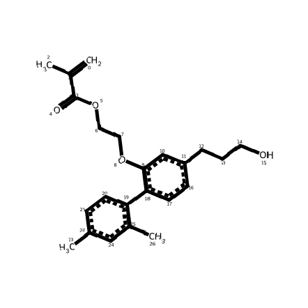 C=C(C)C(=O)OCCOc1cc(CCCO)ccc1-c1ccc(C)cc1C